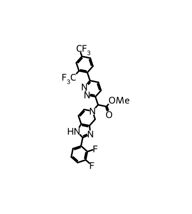 COC(=O)C(c1ccc(-c2ccc(C(F)(F)F)cc2C(F)(F)F)nn1)N1C=Cc2[nH]c(-c3cccc(F)c3F)nc2C1